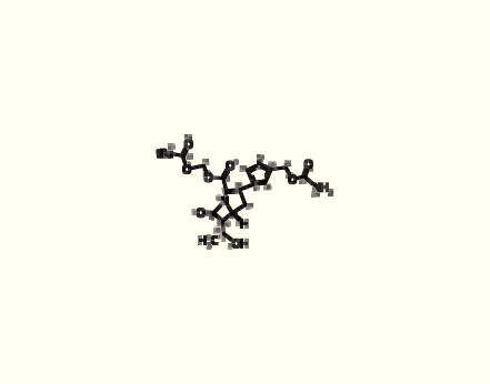 C[C@@H](O)[C@H]1C(=O)N2C(C(=O)OCOC(=O)C(C)(C)C)=C(c3csc(COC(N)=O)c3)C[C@H]12